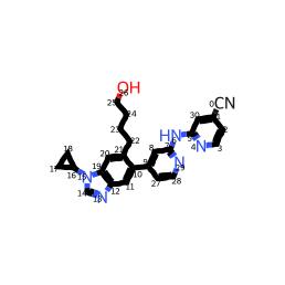 N#Cc1ccnc(Nc2cc(-c3cc4ncn(C5CC5)c4cc3CCCCO)ccn2)c1